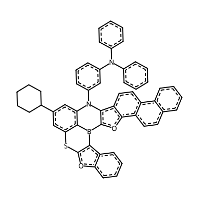 c1ccc(N(c2ccccc2)c2cccc(N3c4cc(C5CCCCC5)cc5c4B(c4oc6c(ccc7c8ccccc8ccc76)c43)c3c(oc4ccccc34)S5)c2)cc1